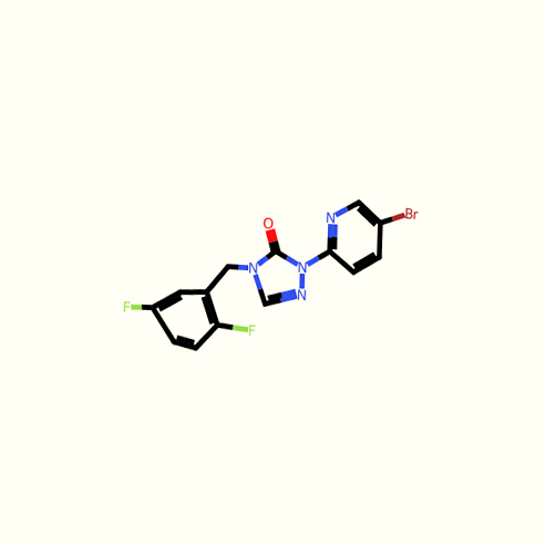 O=c1n(Cc2cc(F)ccc2F)cnn1-c1ccc(Br)cn1